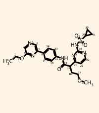 CCOc1cncc(-c2ccc(NC(=O)C(CCOC)c3ccnc(NS(=O)(=O)C4CC4)n3)cc2)n1